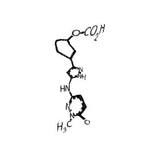 Cn1nc(Nc2cc(C3CCC(OC(=O)O)C3)n[nH]2)ccc1=O